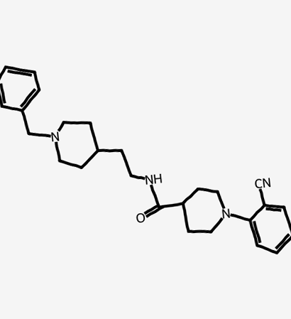 N#Cc1ccccc1N1CCC(C(=O)NCCC2CCN(Cc3ccccc3)CC2)CC1